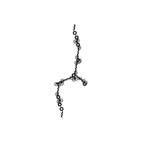 CCCCC[C@H]1CC[C@H](c2ccc(OC(=O)c3ccc(OCCCCCCOC(C=O)CC(=O)OCCCCCCOc4ccc(OCCCCCCOC(=O)CC(C=O)OCCCCCCOc5ccc(C(=O)Oc6ccc([C@H]7CC[C@H](CCCCC)CC7)cc6)cc5)c(C(=O)O)c4CCCCCCOC4CCCCO4)cc3)cc2)CC1